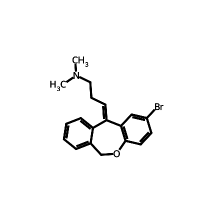 CN(C)CC/C=C1\c2ccccc2COc2ccc(Br)cc21